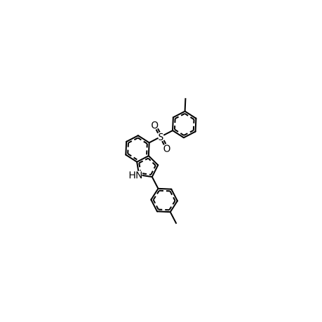 Cc1ccc(-c2cc3c(S(=O)(=O)c4cccc(C)c4)cccc3[nH]2)cc1